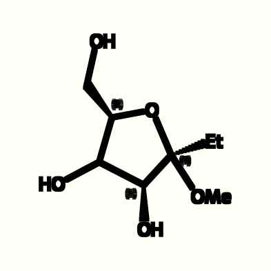 CC[C@@]1(OC)O[C@H](CO)C(O)[C@@H]1O